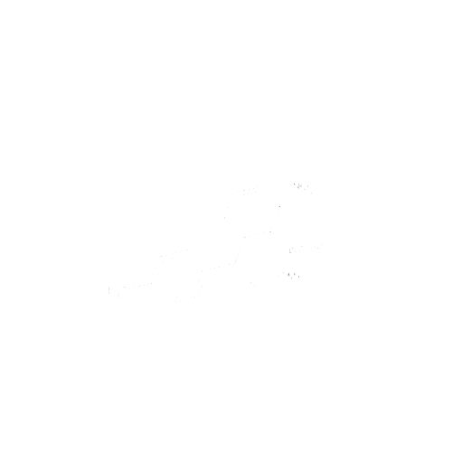 COC(=O)C1C(C(=O)c2ccc(C)cc2)=CC=CC1(I)[N+](=O)[O-]